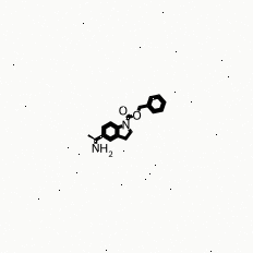 C[C@H](N)c1ccc2c(c1)CCN2C(=O)OCc1ccccc1